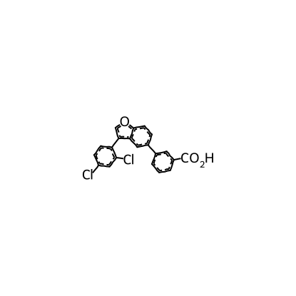 O=C(O)c1cccc(-c2ccc3occ(-c4ccc(Cl)cc4Cl)c3c2)c1